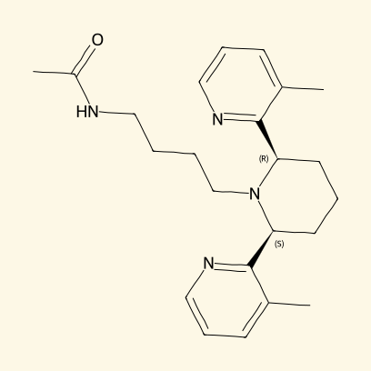 CC(=O)NCCCCN1[C@@H](c2ncccc2C)CCC[C@H]1c1ncccc1C